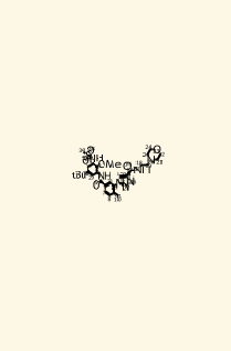 COc1c(NC(=O)c2ccc(C)c(-n3cc(C(=O)NCCN4CCOCC4)nn3)c2)cc(C(C)(C)C)cc1NS(C)(=O)=O